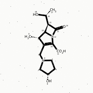 C[C@H]1C(CN2CC[C@H](O)C2)=C(C(=O)O)N2C(=O)[C@H]([C@@H](C)O)C12